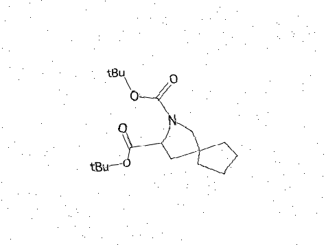 CC(C)(C)OC(=O)C1CC2(CCCC2)CN1C(=O)OC(C)(C)C